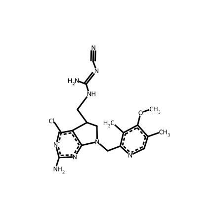 COc1c(C)cnc(CN2CC(CN/C(N)=N/C#N)c3c(Cl)nc(N)nc32)c1C